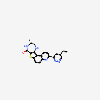 C=Cc1cnnc(-c2ccc3c(ccc4sc5c(c43)NC[C@@H](C)NC5=O)n2)c1